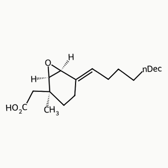 CCCCCCCCCCCCCC=C1CC[C@@](C)(CC(=O)O)[C@H]2O[C@@H]12